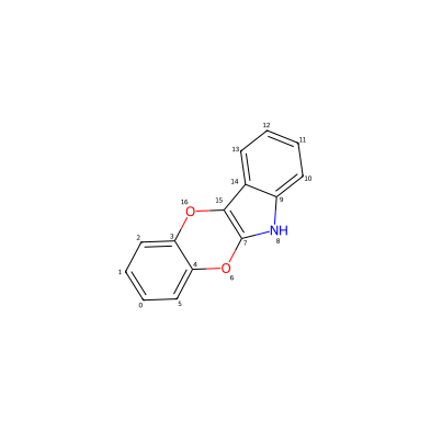 c1ccc2c(c1)Oc1[nH]c3ccccc3c1O2